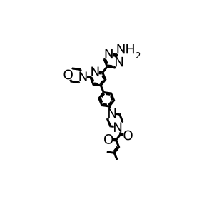 CC(C)=CC(=O)C(=O)N1CCN(c2ccc(-c3cc(-c4cnc(N)nc4)nc(N4CCOCC4)c3)cc2)CC1